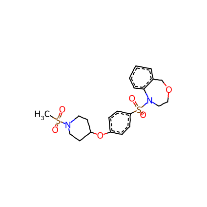 CS(=O)(=O)N1CCC(Oc2ccc(S(=O)(=O)N3CCOCc4ccccc43)cc2)CC1